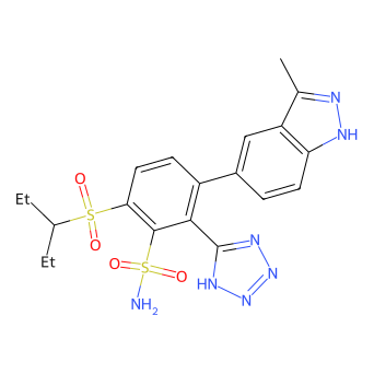 CCC(CC)S(=O)(=O)c1ccc(-c2ccc3[nH]nc(C)c3c2)c(-c2nnn[nH]2)c1S(N)(=O)=O